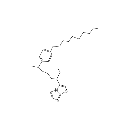 CCCCCCCCCCc1ccc(C(C)CCCC(CC)c2csc3nccn23)cc1